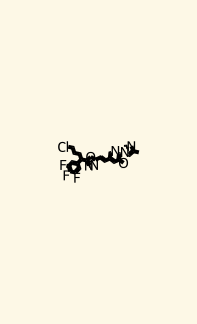 COc1cc(C=Cc2nnc(C(CCCCl)c3cc(F)c(F)c(F)c3)o2)cnc1-n1cnc(C)c1